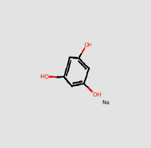 Oc1cc(O)cc(O)c1.[Na]